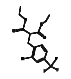 CCOC(=O)C(Cc1ccc(C(F)(F)F)cc1Br)C(=O)OCC